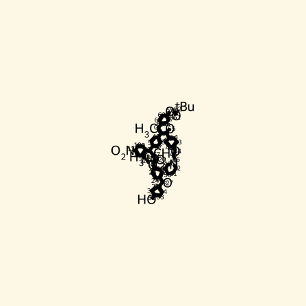 CC1=C(c2ccc(C(c3ccc([N+](=O)[O-])cc3[N+](=O)[O-])C(C)(C)C(=O)Oc3ccc(C(=O)c4ccc(O)cc4)cc3)cc2)C(c2ccc(OCCN3CCCCC3)cc2)Oc2cc(OC(=O)C(C)(C)C)ccc21